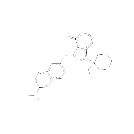 CN(C)c1ccc2cc(Nc3nn(C4(CC#N)CCCOC4)c4cc[nH]c(=O)c34)ccc2n1